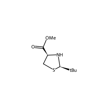 COC(=O)[C@@H]1CS[C@H](C(C)(C)C)N1